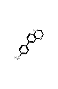 Cc1ccc(-c2ccc3c(c2)OCCN3)cc1